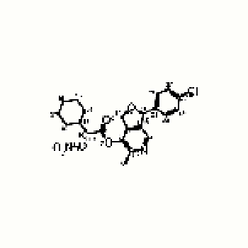 Cc1ncc2c(c1OC(=O)[C@H](O[N+](=O)[O-])C1CCCCC1)CO[C@H]2c1ccc(Cl)cc1